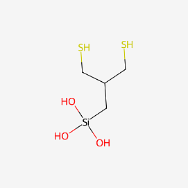 O[Si](O)(O)CC(CS)CS